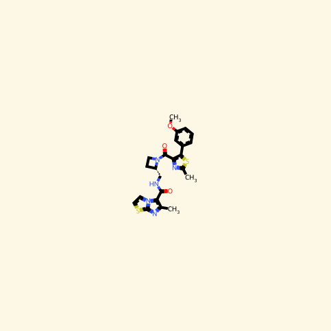 COc1cccc(-c2sc(C)nc2C(=O)N2CC[C@H]2CNC(=O)c2c(C)nc3sccn23)c1